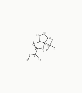 CCC(I)C(=O)OC1(C(C)(C)C)CCCC1